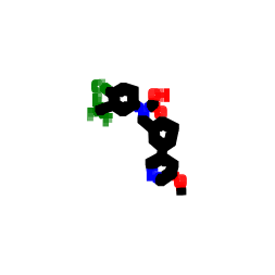 COc1cncc(-c2cccc(CN(C(=O)O)c3ccc(Cl)c(C(F)(F)F)c3)c2)c1